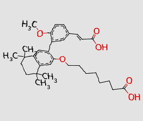 COc1ccc(C=CC(=O)O)cc1-c1cc2c(cc1OCCCCCCCC(=O)O)C(C)(C)CCC2(C)C